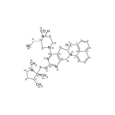 Cc1cccc2cccc(N3CCc4c(nc(OC[C@]5(C)C(C)CCN5C)nc4N4CCN(C(=O)O)[C@@H](CC#N)C4)C3)c12